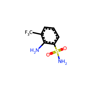 Nc1c(C(F)(F)F)cccc1S(N)(=O)=O